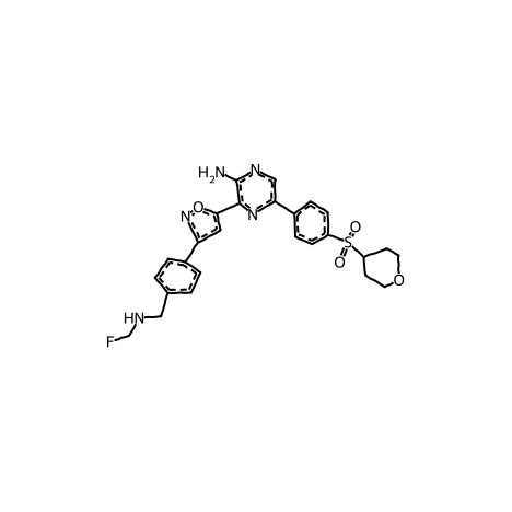 Nc1ncc(-c2ccc(S(=O)(=O)C3CCOCC3)cc2)nc1-c1cc(-c2ccc(CNCF)cc2)no1